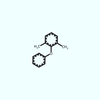 Cc1cccc(C)c1Oc1c[c]ccc1